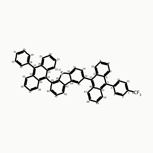 FC(F)(F)c1ccc(-c2c3ccccc3c(-c3ccc4sc5c(-c6c7ccccc7c(-c7ccccc7)c7ccccc67)cccc5c4c3)c3ccccc23)cc1